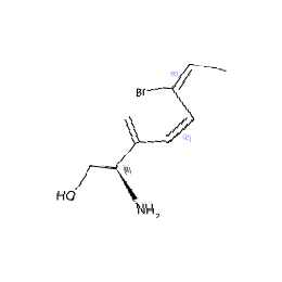 C=C(/C=C\C(Br)=C/C)[C@@H](N)CO